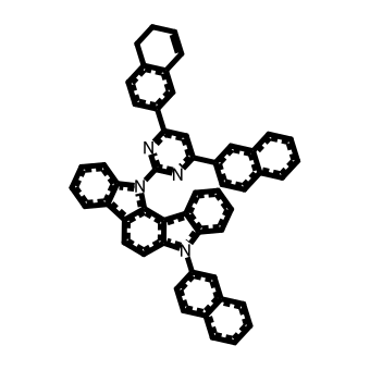 C1=Cc2cc(-c3cc(-c4ccc5ccccc5c4)nc(-n4c5ccccc5c5ccc6c(c7ccccc7n6-c6ccc7ccccc7c6)c54)n3)ccc2CC1